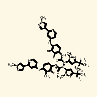 Cc1c(Oc2ccnc(-c3cnn(C)c3)c2)ccc(NC(=O)N(c2cc(C(C)(C)C)nn2C)N(C(=O)Nc2ccc(Oc3ccnc(-c4cnn(C)c4)c3)c(F)c2F)c2cc(C(C)(C)C)nn2C)c1F